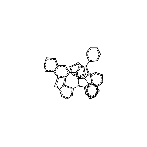 c1ccc(-c2nc(-c3ccccc3)nc(-c3cc4ccccc4c4oc5cccc(N(c6ccccc6)c6cccc7ccccc67)c5c34)n2)cc1